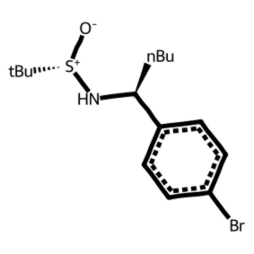 CCCC[C@H](N[S@@+]([O-])C(C)(C)C)c1ccc(Br)cc1